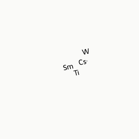 [Cs].[Sm].[Ti].[W]